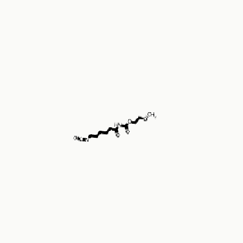 COCCOC(=O)NC(=O)CCCCCN=C=O